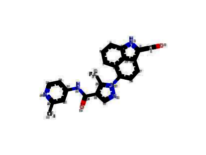 O=C=c1[nH]c2cccc3c(-n4ncc(C(=O)Nc5ccnc(C(F)(F)F)c5)c4C(F)(F)F)ccc1c23